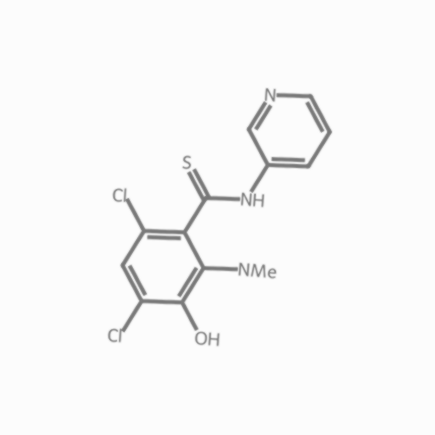 CNc1c(O)c(Cl)cc(Cl)c1C(=S)Nc1cccnc1